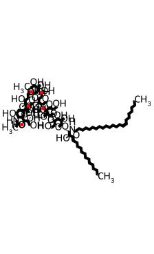 CCCCCCCC/C=C\CCCCCCCCCCCCCC(=O)N[C@@H](CO[C@@H]1OC(CO)[C@@H](O[C@@H]2OC(CO)[C@H](O[C@@H]3OC(CO)[C@H](O[C@H]4OC(C)[C@@H](O)C(O)[C@@H]4O)[C@H](O[C@@H]4OC(CO)[C@H](O)[C@H](O[C@]5(C(=O)O)CC(O)[C@@H](NC(C)=O)C([C@H](O)[C@H](O)CO)O5)C4O)C3NC(C)=O)[C@H](O)C2O)[C@H](O)C1O)[C@H](O)/C=C/CCCCCCCCCCCCC